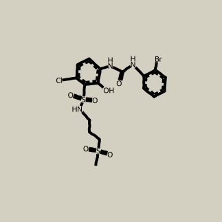 CS(=O)(=O)CCCNS(=O)(=O)c1c(Cl)ccc(NC(=O)Nc2ccccc2Br)c1O